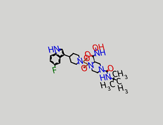 CC(C)(C)NC(=O)N1CCN(S(=O)(=O)N2CCC(c3c[nH]c4ccc(F)cc34)CC2)[C@@H](C(=O)NO)C1